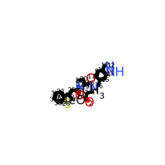 COC(=O)CCN(Cc1ccc2cn[nH]c2c1)C(=O)C1(C)CCN1C(=O)CC1CSc2ccccc21